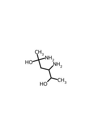 CC(O)C(N)CC(C)(N)O